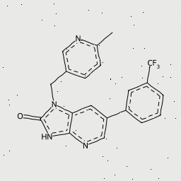 Cc1ccc(Cn2c(=O)[nH]c3ncc(-c4cccc(C(F)(F)F)c4)cc32)cn1